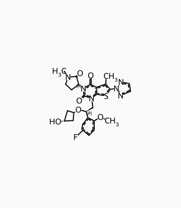 COc1ccc(F)cc1[C@H](Cn1c(=O)n([C@@H]2CCN(C)C2=O)c(=O)c2c(C)c(-n3nccn3)sc21)O[C@H]1C[C@@H](O)C1